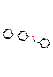 [c]1cccnc1-c1ccc(OCc2ccccc2)cc1